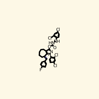 O=C(NNc1ccc(Cl)cc1Cl)Oc1nn(-c2ccc(Cl)cc2Cl)c2c1CCCCC/C2=C\c1ccc(F)cc1